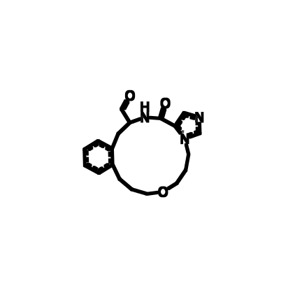 O=CC1Cc2ccccc2CCCOCCCn2cncc2C(=O)N1